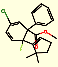 COC(=O)C1(c2ccccc2)C=C(Cl)C=CC1(F)C1=CCCC1(C)C